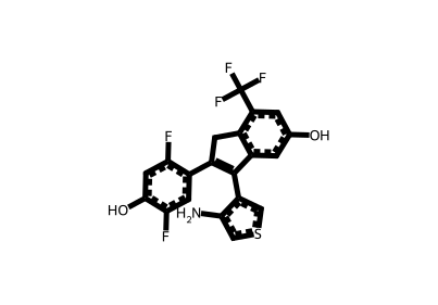 Nc1cscc1C1=C(c2cc(F)c(O)cc2F)Cc2c1cc(O)cc2C(F)(F)F